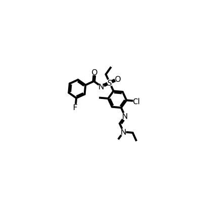 CCN(C)C=Nc1cc(C)c(S(=O)(CC)=NC(=O)c2cccc(F)c2)cc1Cl